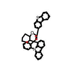 c1ccc2c(c1)-n1c3ccccc3c3cccc(c31)C21c2cccc(-c3ccc4sc5ccccc5c4c3)c2OC2CCCCC21